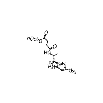 CCCCCCCCOC(=O)CCC(=O)NC(C)c1n[nH]c2cc(C(C)(C)C)nn12